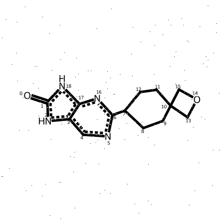 O=c1[nH]c2cnc(C3CCC4(CC3)COC4)nc2[nH]1